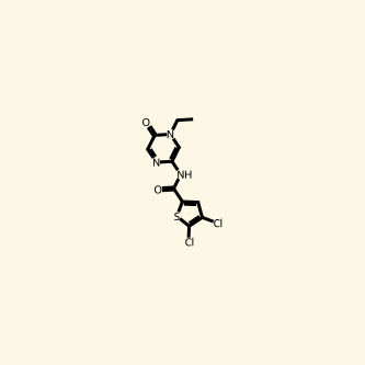 CCn1cc(NC(=O)c2cc(Cl)c(Cl)s2)ncc1=O